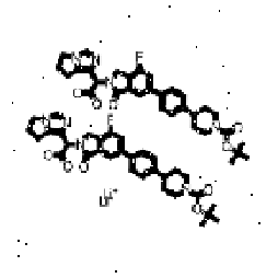 CC(C)(C)OC(=O)N1CCC(c2ccc(-c3cc(F)c4c(c3)C(=O)N(C(C(=O)[O-])c3ncn5c3CCC5)C4)cc2)CC1.CC(C)(C)OC(=O)N1CCC(c2ccc(-c3cc(F)c4c(c3)C(=O)N(C(C(=O)[O-])c3ncn5c3CCC5)C4)cc2)CC1.[Li+].[Li+]